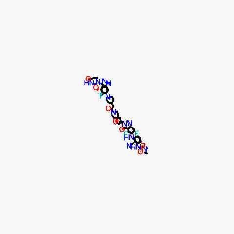 CCN(C)S(=O)(=O)Nc1ccc(F)c(Nc2ccc3ncn([C@H]4COC5(CCN(C(=O)CC6CCN(c7cc8c(cc7F)c(N7CCC(=O)NC7=O)nn8C)CC6)CC5)C4)c(=O)c3c2F)c1C#N